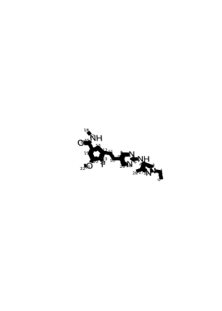 CCn1cc(Nc2ncc(CCc3cc(C(=O)NC)cc(OC)c3F)cn2)c(C)n1